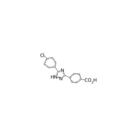 O=C(O)c1ccc(-c2n[nH]c(-c3ccc(Cl)cc3)n2)cc1